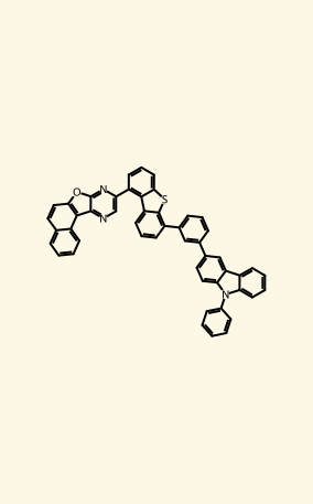 c1ccc(-n2c3ccccc3c3cc(-c4cccc(-c5cccc6c5sc5cccc(-c7cnc8c(n7)oc7ccc9ccccc9c78)c56)c4)ccc32)cc1